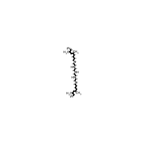 CC(C)CC(C)CC(C)CCC/C=N/CCNCCNCCNCC/N=C/CCCC(C)CC(C)CC(C)C